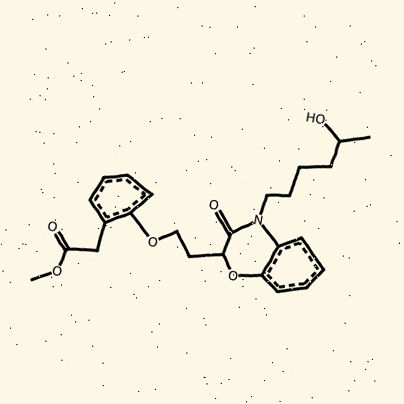 COC(=O)Cc1ccccc1OCCC1Oc2ccccc2N(CCCCC(C)O)C1=O